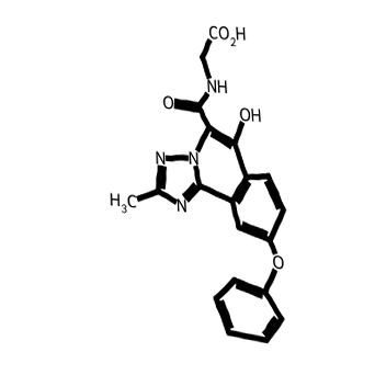 Cc1nc2c3cc(Oc4ccccc4)ccc3c(O)c(C(=O)NCC(=O)O)n2n1